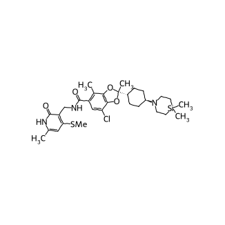 CSc1cc(C)[nH]c(=O)c1CNC(=O)c1cc(Cl)c2c(c1C)OC(C)([C@H]1CC[C@H](N3CC[Si](C)(C)CC3)CC1)O2